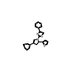 C1=C(c2ccccc2)CC(c2cccs2)N1c1nc(-c2ccccc2)cs1